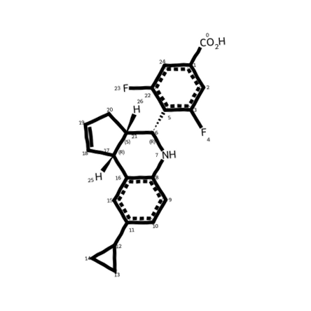 O=C(O)c1cc(F)c([C@@H]2Nc3ccc(C4CC4)cc3[C@@H]3C=CC[C@@H]32)c(F)c1